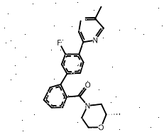 C=C(C)/C=N\C(=C/C)c1ccc(-c2ccccc2C(=O)N2CCO[C@@H](C)C2)cc1F